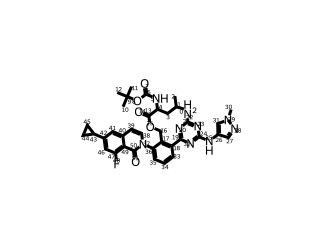 CC(C)CC(NC(=O)OC(C)(C)C)C(=O)OCc1c(-c2nc(N)nc(Nc3cnn(C)c3)n2)cccc1-n1ccc2cc(C3CC3)cc(F)c2c1=O